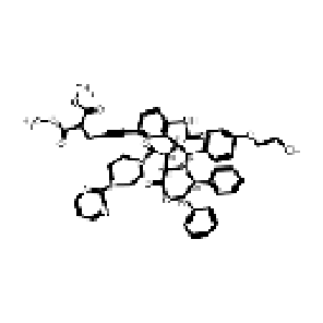 COC(=O)C(CC#Cc1ccc2c(c1)[C@]1(C(=O)N2)[C@H](C(=O)N2CCN(c3ncccn3)CC2)[C@H]2C(=O)O[C@H](c3ccccc3)[C@H](c3ccccc3)N2[C@@H]1c1ccc(OCCO)cc1)C(=O)OC